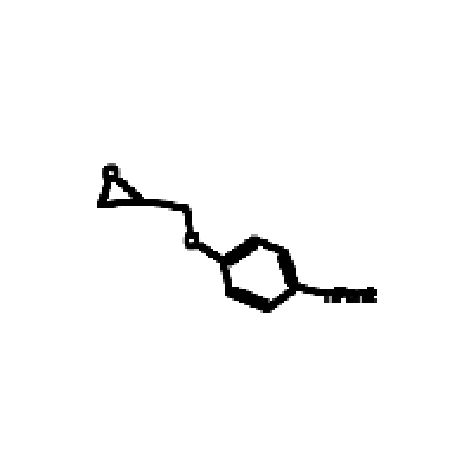 CCCCCc1ccc(OCC2CO2)cc1